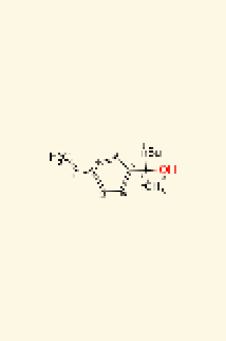 C=Cc1ccc(C(C)(O)CCCC)cc1